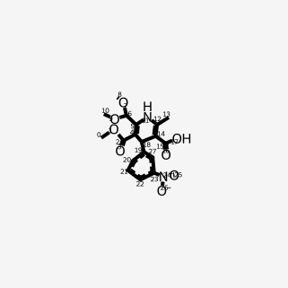 COC(=O)C1=C(C(OC)OC)NC(C)=C(C(=O)O)C1c1cccc([N+](=O)[O-])c1